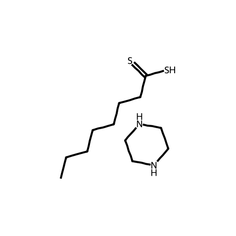 C1CNCCN1.CCCCCCCC(=S)S